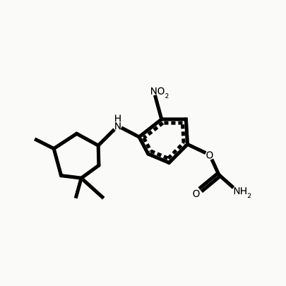 CC1CC(Nc2ccc(OC(N)=O)cc2[N+](=O)[O-])CC(C)(C)C1